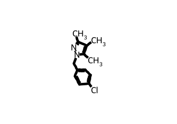 Cc1nn(Cc2ccc(Cl)cc2)c(C)c1C